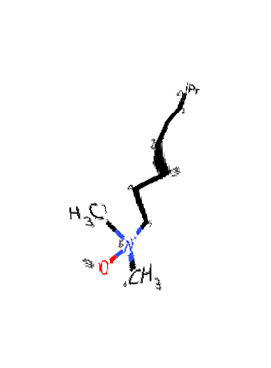 CC(C)CCCCC[N+](C)(C)[O-]